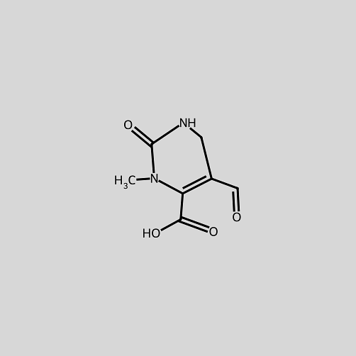 CN1C(=O)NCC(C=O)=C1C(=O)O